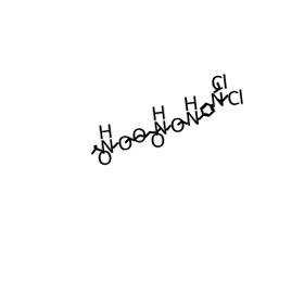 C=C(C)C(=O)NCCOCCOCCC(=O)NCCOCCNCc1ccc(N(CCCl)CCCl)cc1